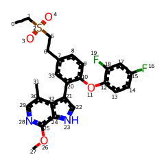 CCS(=O)(=O)CCc1ccc(Oc2ccc(F)cc2F)c(-c2c[nH]c3c(OC)ncc(C)c23)c1